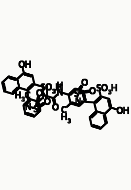 Cc1c2ccc(c1NC(=O)Nc1c3ccc(c1C)N(c1c(S(=O)(=O)O)cc(O)c4ccccc14)S3(=O)=O)S(=O)(=O)N2c1c(S(=O)(=O)O)cc(O)c2ccccc12